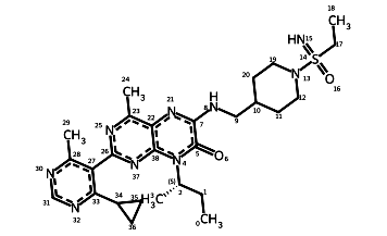 CC[C@H](C)n1c(=O)c(NCC2CCN(S(=N)(=O)CC)CC2)nc2c(C)nc(-c3c(C)ncnc3C3CC3)nc21